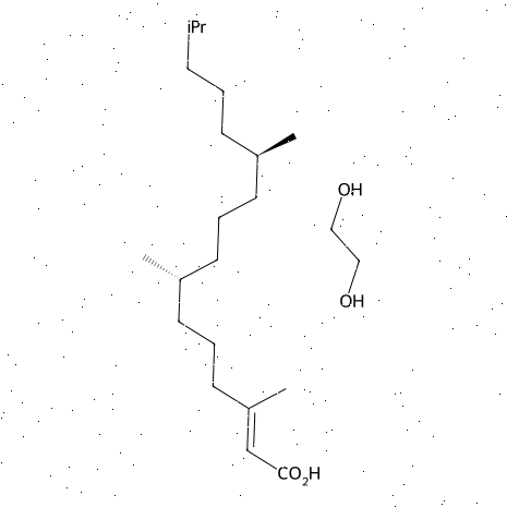 C/C(=C\C(=O)O)CCC[C@H](C)CCC[C@H](C)CCCC(C)C.OCCO